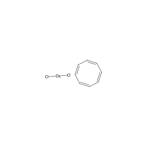 C1=CC=CC=CC=C1.[Cl][Os][Cl]